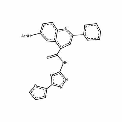 CC(=O)Nc1ccc2nc(-c3ccccc3)cc(C(=O)Nc3nnc(-c4ccco4)o3)c2c1